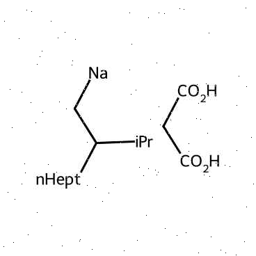 CCCCCCCC([CH2][Na])C(C)C.O=C(O)CC(=O)O